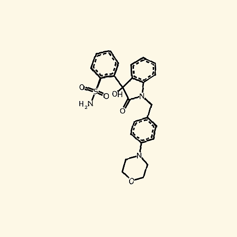 NS(=O)(=O)c1ccccc1C1(O)C(=O)N(Cc2ccc(N3CCOCC3)cc2)c2ccccc21